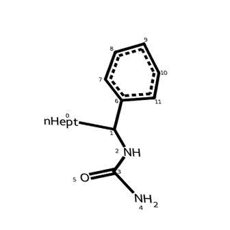 CCCCCCCC(NC(N)=O)c1ccccc1